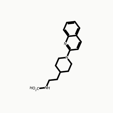 O=C(O)NCCC1CCN(c2ccc3ccccc3n2)CC1